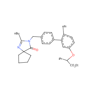 CCCCC1=NC2(CCCC2)C(=O)N1Cc1ccc(-c2cc(OC(C(=O)OCC)C(C)C)ccc2CCC)cc1